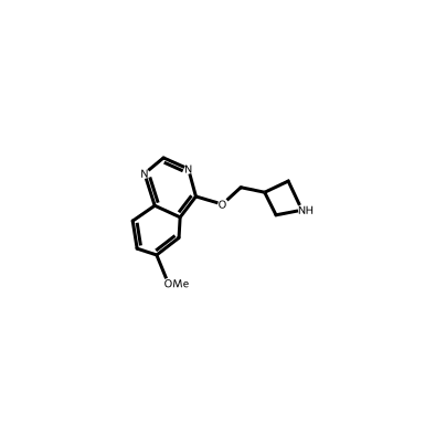 COc1ccc2ncnc(OCC3CNC3)c2c1